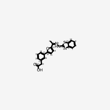 CC(=NNc1nc2ccccc2s1)c1ccc(-c2cccc(CC(=O)O)c2)o1